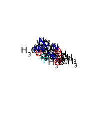 COc1ccc(-c2ccc3ncc4c(c3n2)N(c2ccc(N3CCN(C(=O)OC(C)(C)C)CC3)c(C(F)(F)F)c2)C(=O)N(C)C4)cn1